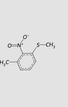 CSc1cccc(C)c1[N+](=O)[O-]